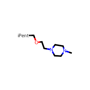 CCCC(C)COCCN1CCN(C)CC1